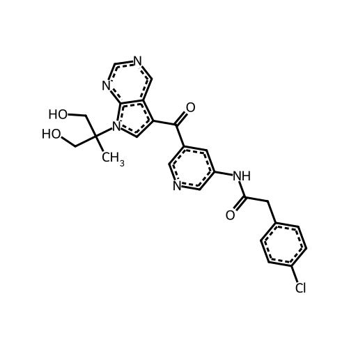 CC(CO)(CO)n1cc(C(=O)c2cncc(NC(=O)Cc3ccc(Cl)cc3)c2)c2cncnc21